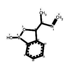 C=NC(C)C1OB(O)c2ccccc21